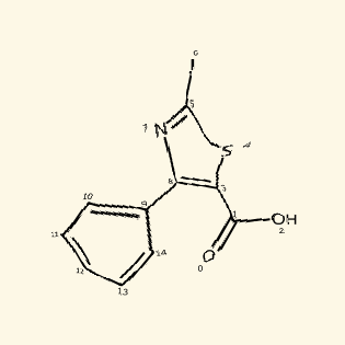 O=C(O)c1sc(I)nc1-c1ccccc1